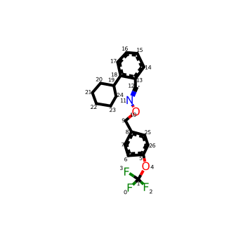 FC(F)(F)Oc1ccc(CON=[C]c2ccccc2C2CCCCC2)cc1